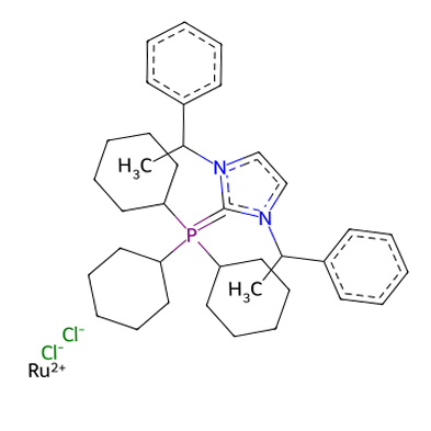 CC(c1ccccc1)n1ccn(C(C)c2ccccc2)c1=P(C1CCCCC1)(C1CCCCC1)C1CCCCC1.[Cl-].[Cl-].[Ru+2]